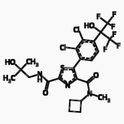 CN(C(=O)c1nc(C(=O)NCC(C)(C)O)sc1-c1ccc(C(O)(C(F)(F)F)C(F)(F)F)c(Cl)c1Cl)C1CCC1